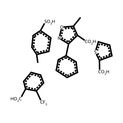 Cc1ccc(S(=O)(=O)O)cc1.Cc1onc(-c2ccccc2)c1C(=O)O.O=C(O)c1ccccc1C(F)(F)F.O=C(O)c1cccs1